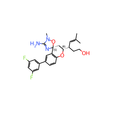 CC(C)=CC(CCO)[C@H]1C[C@@]2(N=C(N)N(C)O2)c2cc(-c3cc(F)cc(F)c3)ccc2O1